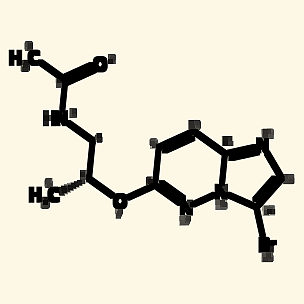 CC(=O)NC[C@@H](C)Oc1ccc2ncc(Br)n2n1